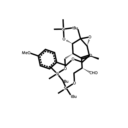 COc1ccc(COC[C@H](C)[C@H]2OC2(C)[C@@H](O[Si](C)(C)C(C)(C)C)[C@@H](CO[Si](C)(C)C(C)(C)C)C(=O)[C@H](C=O)CO[Si](C)(C)C(C)(C)C)cc1